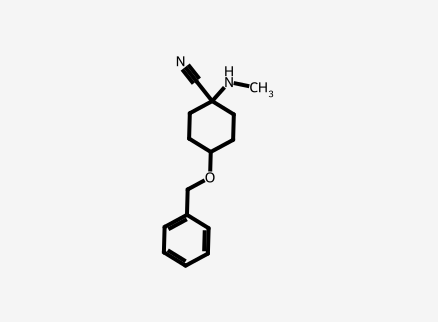 CNC1(C#N)CCC(OCc2ccccc2)CC1